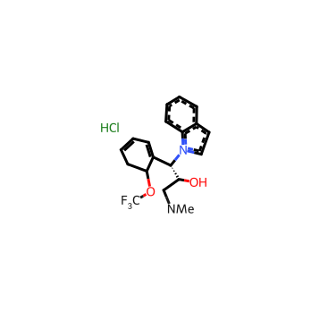 CNCC(O)[C@H](C1=CC=CCC1OC(F)(F)F)n1ccc2ccccc21.Cl